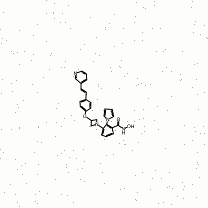 O=C(NO)c1cccc(N2CC(Oc3ccc(/C=C/c4cccnc4)cc3)C2)c1-n1cccc1